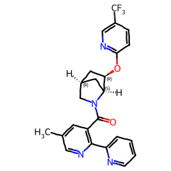 Cc1cnc(-c2ccccn2)c(C(=O)N2C[C@H]3C[C@@H](Oc4ccc(C(F)(F)F)cn4)[C@@H]2C3)c1